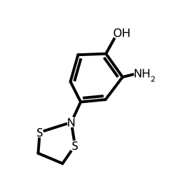 Nc1cc(N2SCCS2)ccc1O